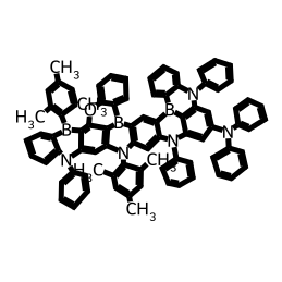 Cc1cc(C)c(B2c3ccccc3N(c3ccccc3)c3cc4c5c(c32)Oc2ccccc2B5c2cc3c(cc2N4c2c(C)cc(C)cc2C)N(c2ccccc2)c2cc(N(c4ccccc4)c4ccccc4)cc4c2B3c2ccccc2N4c2ccccc2)c(C)c1